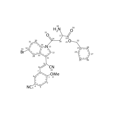 COc1ccc(C#N)cc1C=C(C#N)c1cn(C(=O)CC(N)C(=O)OCc2ccccc2)c2ccc(Br)cc12